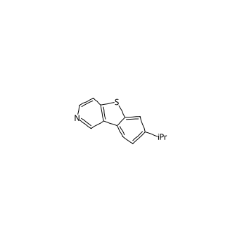 CC(C)c1ccc2c(c1)sc1ccncc12